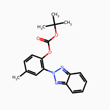 Cc1ccc(OC(=O)OC(C)(C)C)c(-n2nc3ccccc3n2)c1